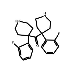 O=C(C1(c2ccccc2F)CCNCC1)C1(c2ccccc2F)CCNCC1